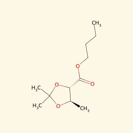 CCCCOC(=O)[C@H]1OC(C)(C)O[C@@H]1C